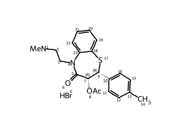 Br.CNCCN1C(=O)[C@@H](OC(C)=O)[C@@H](c2ccc(C)cc2)Sc2ccccc21